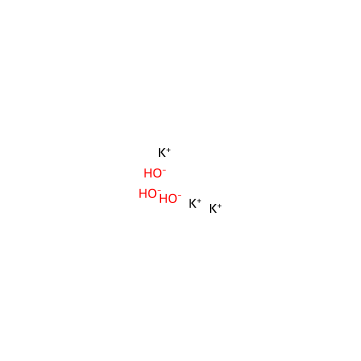 [K+].[K+].[K+].[OH-].[OH-].[OH-]